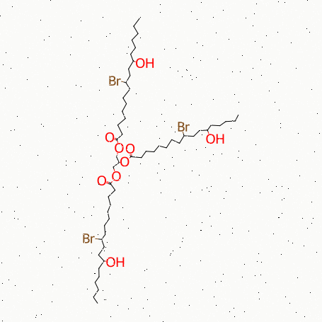 CCCCCCC(O)CCC(Br)CCCCCCCC(=O)OCC(COC(=O)CCCCCCCC(Br)CCC(O)CCCCCC)OC(=O)CCCCCCCC(Br)CCC(O)CCCCC